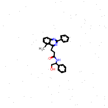 Cc1cccc2nc(-c3ccccc3)nc(CCC(=O)NC(CO)c3ccccc3)c12